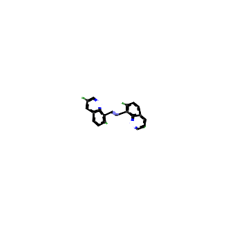 Clc1cnc2c(/C=C/c3c(Cl)ccc4cc(Cl)cnc34)c(Cl)ccc2c1